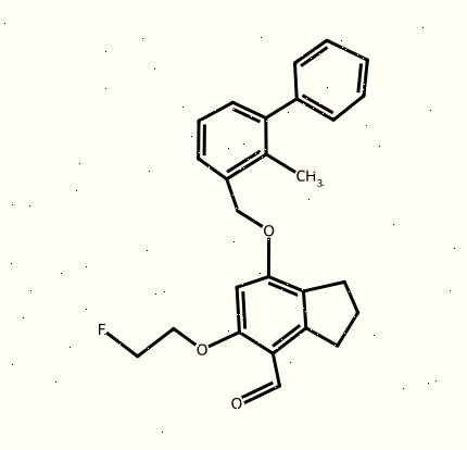 Cc1c(COc2cc(OCCF)c(C=O)c3c2CCC3)cccc1-c1ccccc1